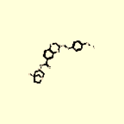 COc1ccc(OC[C@H]2COc3ccc(C(=O)N[C@@H]4C[C@H]5CCN(C5)C4)cc3O2)cc1